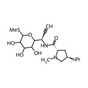 C#C[C@@H](NC(=O)[C@@H]1C[C@@H](CCC)CN1C)C1OC(SC)C(O)C(O)C1O